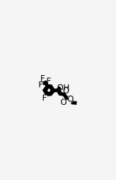 CCOC(=O)C(=O)/C=C(\O)c1cc(F)cc(C(F)(F)F)c1